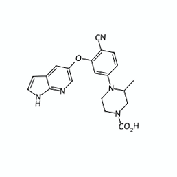 CC1CN(C(=O)O)CCN1c1ccc(C#N)c(Oc2cnc3[nH]ccc3c2)c1